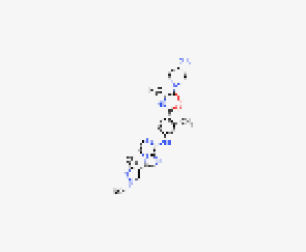 Cc1cc(Nc2nccn3c(-c4cn(CC#N)nc4C(F)(F)F)cnc23)ccc1C(=O)N[C@H](C)C(=O)N1CCC(N)CC1